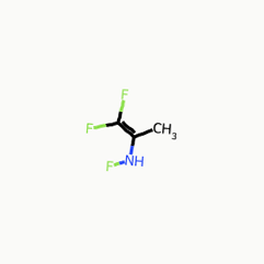 CC(NF)=C(F)F